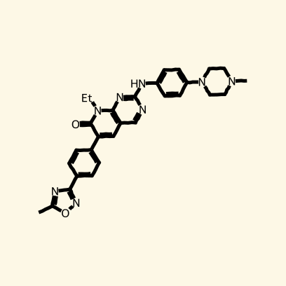 CCn1c(=O)c(-c2ccc(-c3noc(C)n3)cc2)cc2cnc(Nc3ccc(N4CCN(C)CC4)cc3)nc21